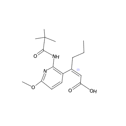 CCC/C(=C/C(=O)O)c1ccc(OC)nc1NC(=O)C(C)(C)C